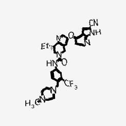 CC[C@H]1CN(C(=O)Nc2ccc(CN3CCN(C)CC3)c(C(F)(F)F)c2)Cc2cc(Oc3ccnc4[nH]c(C#N)cc34)cnc21